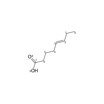 CC/C=C/CCCC(=O)O